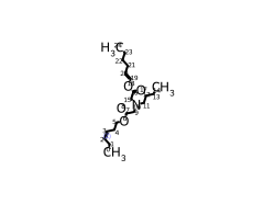 CC/C=C\CCOC(=O)CN(CCCC)CC(=O)OC=CCCCC